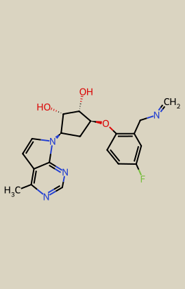 C=NCc1cc(F)ccc1O[C@H]1C[C@@H](n2ccc3c(C)ncnc32)[C@H](O)[C@@H]1O